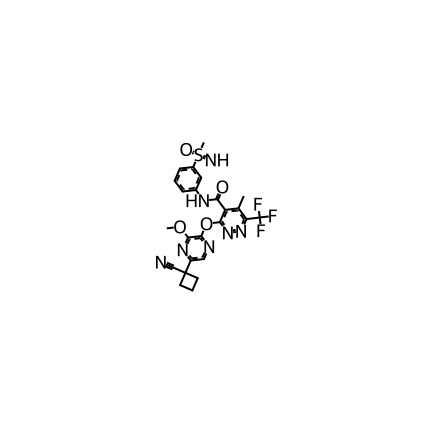 COc1nc(C2(C#N)CCC2)cnc1Oc1nnc(C(F)(F)F)c(C)c1C(=O)Nc1cccc(S(C)(=N)=O)c1